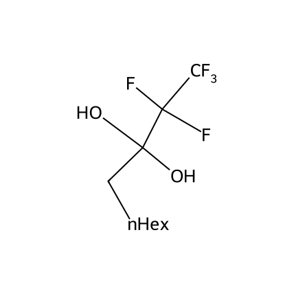 CCCCCCCC(O)(O)C(F)(F)C(F)(F)F